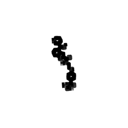 COC(c1cccnc1)c1cccc2oc(C(=O)NCCOc3ccc(C(=O)NO)cc3)cc12